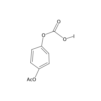 CC(=O)Oc1ccc(OC(=O)OI)cc1